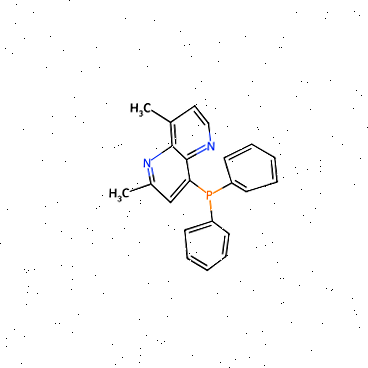 Cc1cc(P(c2ccccc2)c2ccccc2)c2nccc(C)c2n1